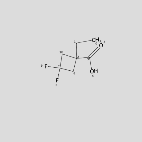 CCC1(C(=O)O)CC(F)(F)C1